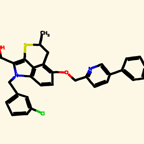 CC1Cc2c(OCc3ccc(-c4ccccc4)cn3)ccc3c2c(c(CO)n3Cc2cccc(Cl)c2)S1